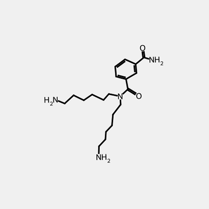 NCCCCCCN(CCCCCCN)C(=O)c1cccc(C(N)=O)c1